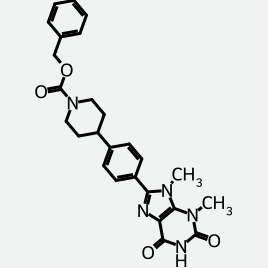 Cn1c(-c2ccc(C3CCN(C(=O)OCc4ccccc4)CC3)cc2)nc2c(=O)[nH]c(=O)n(C)c21